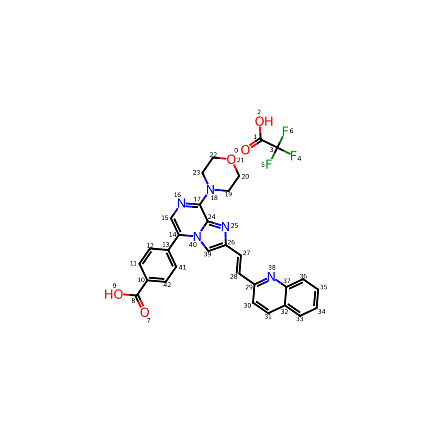 O=C(O)C(F)(F)F.O=C(O)c1ccc(-c2cnc(N3CCOCC3)c3nc(C=Cc4ccc5ccccc5n4)cn23)cc1